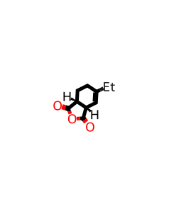 CCC1=C[C@@H]2C(=O)OC(=O)[C@@H]2CC1